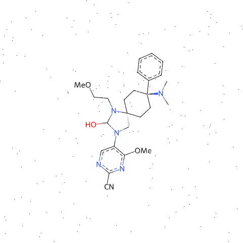 COCCN1C(O)N(c2cnc(C#N)nc2OC)C[C@]12CC[C@](c1ccccc1)(N(C)C)CC2